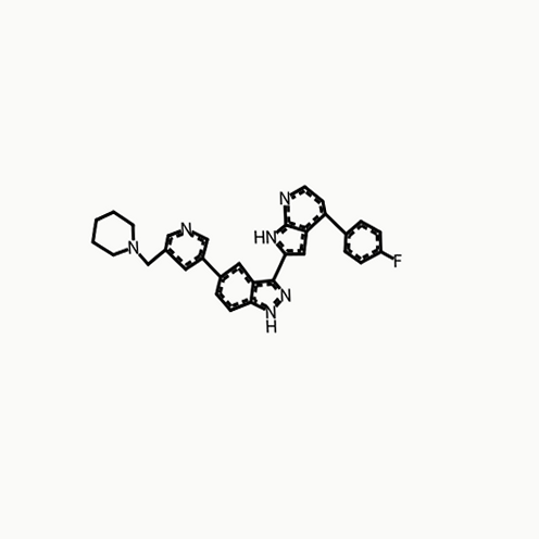 Fc1ccc(-c2ccnc3[nH]c(-c4n[nH]c5ccc(-c6cncc(CN7CCCCC7)c6)cc45)cc23)cc1